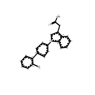 O=C(O)Cc1cn(-c2ccc(-c3ccccc3Cl)cc2)c2ccccc12